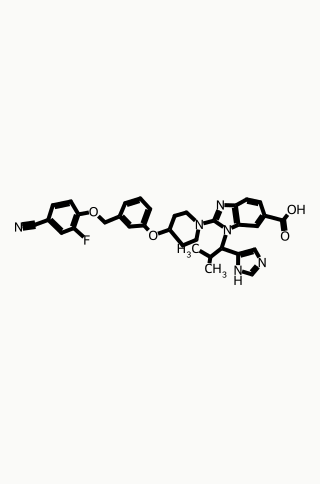 CC(C)C(c1cnc[nH]1)n1c(N2CCC(Oc3cccc(COc4ccc(C#N)cc4F)c3)CC2)nc2ccc(C(=O)O)cc21